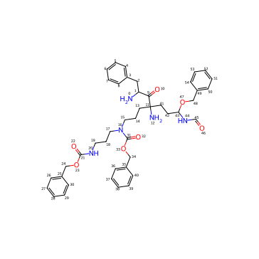 NC(Cc1ccccc1)C(=O)C(N)(CCCN(CCCNC(=O)OCc1ccccc1)C(=O)OCc1ccccc1)CCC(NC=O)OCc1ccccc1